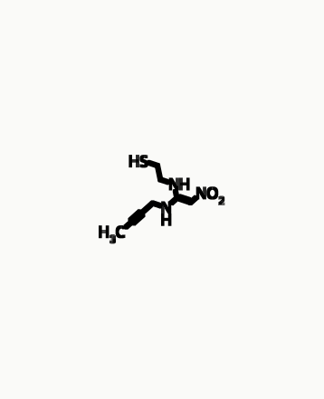 CC#CCNC(=C[N+](=O)[O-])NCCS